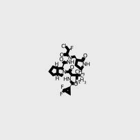 CCC(C)(C)[C@H](NC(=O)[C@@H]1CC1(F)F)C(=O)N1C[C@@H]2CCC[C@@H]2[C@H]1C(=O)NN(C[C@@H]1CCNC1=O)C(=O)[C@@H](F)Cl